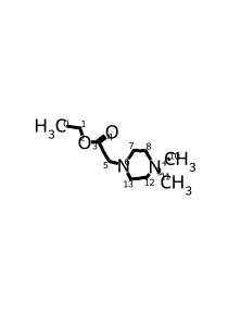 CCOC(=O)CN1CC[N+](C)(C)CC1